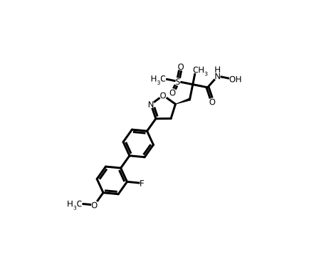 COc1ccc(-c2ccc(C3=NO[C@@H](CC(C)(C(=O)NO)S(C)(=O)=O)C3)cc2)c(F)c1